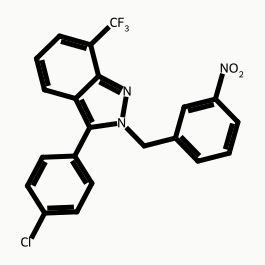 O=[N+]([O-])c1cccc(Cn2nc3c(C(F)(F)F)cccc3c2-c2ccc(Cl)cc2)c1